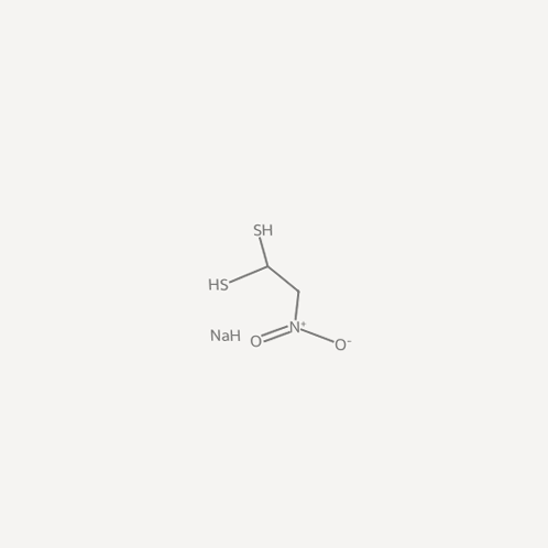 O=[N+]([O-])CC(S)S.[NaH]